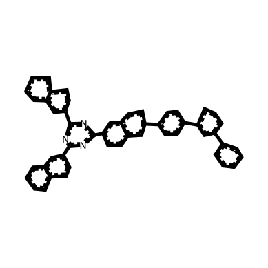 c1ccc(-c2cccc(-c3ccc(-c4ccc5cc(-c6nc(-c7ccc8ccccc8c7)nc(-c7ccc8ccccc8c7)n6)ccc5c4)cc3)c2)cc1